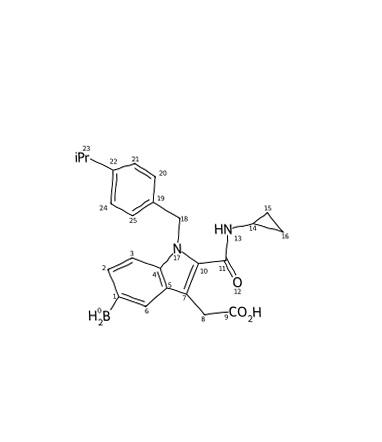 Bc1ccc2c(c1)c(CC(=O)O)c(C(=O)NC1CC1)n2Cc1ccc(C(C)C)cc1